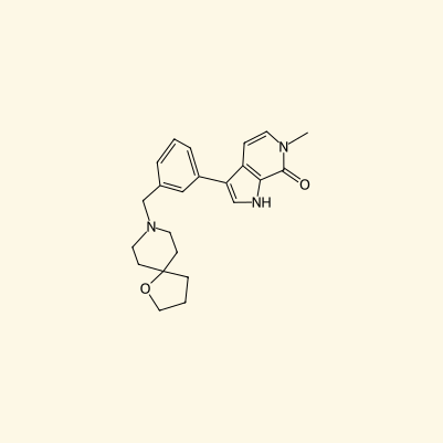 Cn1ccc2c(-c3cccc(CN4CCC5(CCCO5)CC4)c3)c[nH]c2c1=O